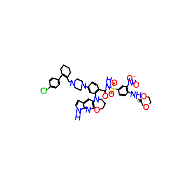 O=C(NS(=O)(=O)c1ccc(NC[C@H]2COCCO2)c([N+](=O)[O-])c1)c1ccc(N2CCN(CC3=C(c4ccc(Cl)cc4)CCCC3)CC2)cc1N1CCCOc2nc3[nH]ccc3cc21